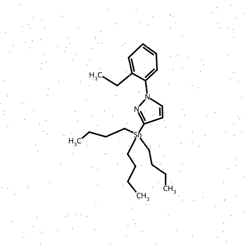 CCC[CH2][Sn]([CH2]CCC)([CH2]CCC)[c]1ccn(-c2ccccc2CC)n1